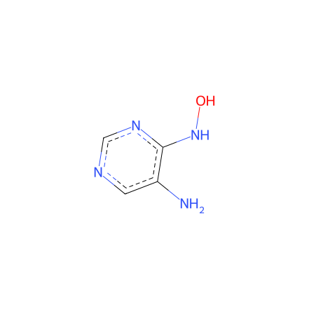 Nc1cncnc1NO